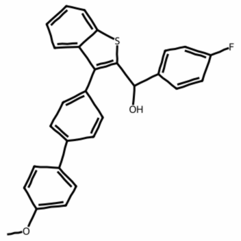 COc1ccc(-c2ccc(-c3c(C(O)c4ccc(F)cc4)sc4ccccc34)cc2)cc1